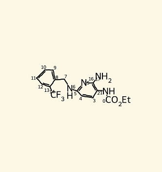 CCOC(=O)Nc1ccc(NCc2ccccc2C(F)(F)F)nc1N